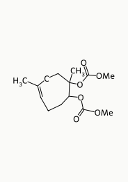 COC(=O)OC1CC/C=C(/C)CCC1(C)OC(=O)OC